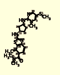 CSC1=CN(C)C(N[C@H]2CC[C@H](Nc3nc4c(s3)C(C)C(C(=O)N(C)C)C=C4)C2)N=C1